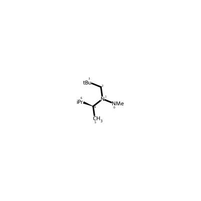 CNN(CC(C)(C)C)[C@@H](C)C(C)C